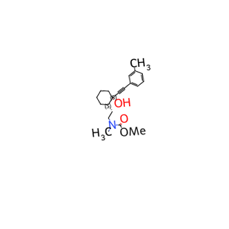 COC(=O)N(C)CC[C@@H]1CCCC[C@@]1(O)C#Cc1cccc(C)c1